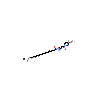 CNC1CCN(C(=O)CCCNC(=O)CCCCCCCCCCCCCCCCC(=O)O)CC1